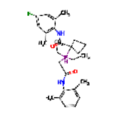 CC[PH](CC)(CC(=O)Nc1c(C)cccc1C)C1(C(=O)Nc2c(C)cc(F)cc2C)CCC1